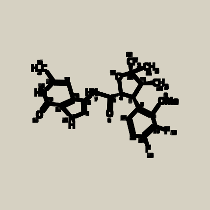 COc1c([C@H]2[C@H](C(=O)Nc3c[nH]c4c(=O)[nH]c(C)cc34)O[C@@](C)(C(F)(F)F)[C@H]2C)ccc(F)c1F